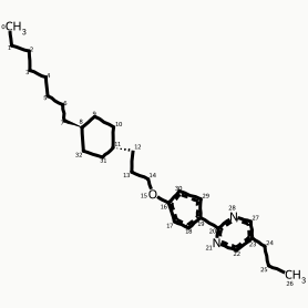 CCCCCCCC[C@H]1CC[C@H](CCCOc2ccc(-c3ncc(CCC)cn3)cc2)CC1